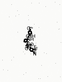 C[S+]([O-])c1ccc(NC(=O)Nc2ccccc2CN2C(=O)N(c3ccc(C#N)c(C(F)(F)F)c3)C(=O)C2(C)C)cc1